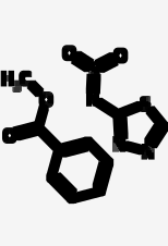 COC(=O)c1ccccc1.O=S(=O)=Nc1nncs1